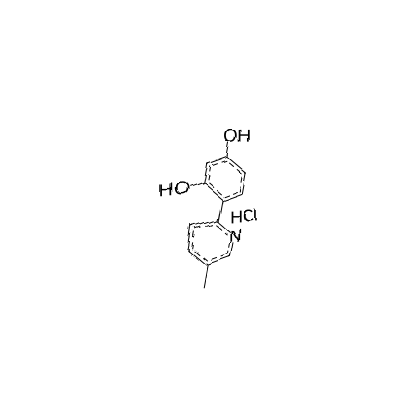 Cc1ccc(-c2ccc(O)cc2O)nc1.Cl